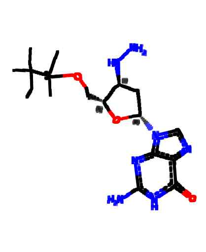 CC(C)(C)[Si](C)(C)OC[C@H]1O[C@@H](n2cnc3c(=O)[nH]c(N)nc32)C[C@@H]1NN